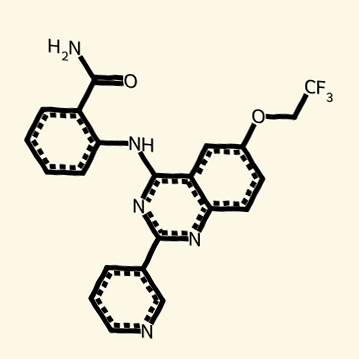 NC(=O)c1ccccc1Nc1nc(-c2cccnc2)nc2ccc(OCC(F)(F)F)cc12